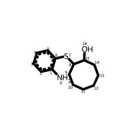 Nc1ccccc1SC1CCCCCCC1O